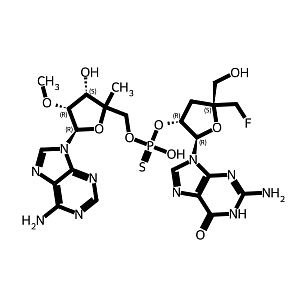 CO[C@H]1[C@H](n2cnc3c(N)ncnc32)OC(C)(COP(O)(=S)O[C@@H]2C[C@](CO)(CF)O[C@H]2n2cnc3c(=O)[nH]c(N)nc32)[C@H]1O